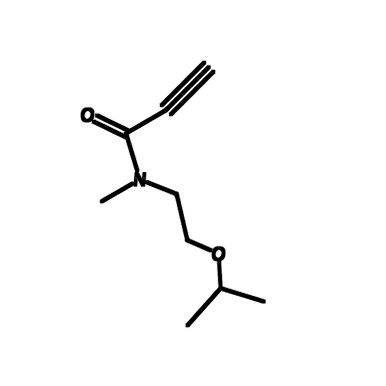 C#CC(=O)N(C)CCOC(C)C